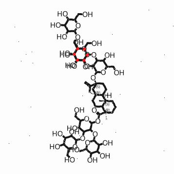 C=C1C[C@@]23CCC4[C@](C)(C(=O)OC5OC(CO)C(O)C(OC6OC(CO)C(O)C(O)C6O)C5OC5OC(CO)C(O)C(O)C5O)CCC[C@@]4(C)[C@@H]2CC[C@]1(OC1OC(CO)C(O)C(OC2OC(COC4OC(CO)C(O)C(O)C4O)C(O)C(O)C2O)C1OC1OC(CO)C(O)C(O)C1O)C3